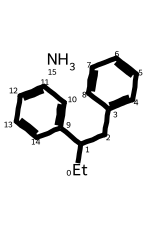 CCC(Cc1ccccc1)c1ccccc1.N